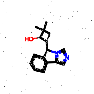 CC1(C)C[C@H]([C@@H]2c3ccccc3-c3cncn32)[C@@H]1O